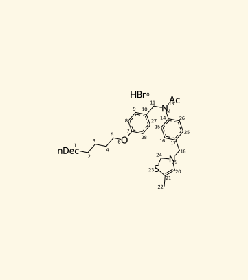 Br.CCCCCCCCCCCCCCOc1ccc(CN(C(C)=O)c2ccc(CN3C=C(C)SC3)cc2)cc1